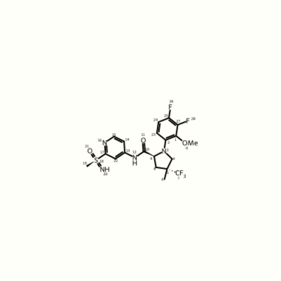 COc1c(N2C[C@](C)(C(F)(F)F)C[C@H]2C(=O)Nc2ccnc([S@](C)(=N)=O)c2)ccc(F)c1F